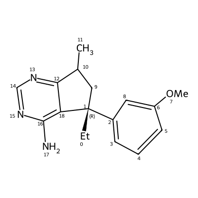 CC[C@]1(c2cccc(OC)c2)CC(C)c2ncnc(N)c21